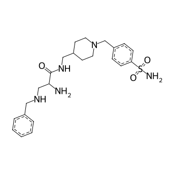 NC(CNCc1ccccc1)C(=O)NCC1CCN(Cc2ccc(S(N)(=O)=O)cc2)CC1